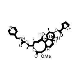 CO[C@H]1C[C@H]2C=C[C@H]3[C@H]4O[C@]2(/C(C)=C/[C@@H](C)[C@@H]([C@@H](C)OC(=O)NCc2ccncc2)OC1=O)[C@@H]3[C@H](O)[C@@H](C)[C@H]4OC(=O)c1ccc[nH]1